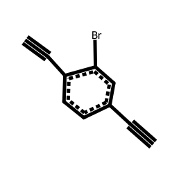 C#Cc1ccc(C#C)c(Br)c1